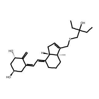 C=C1/C(=C\C=C2/CCC[C@]3(C)C(CSCC(O)(CC)CC)=CC[C@@H]23)C[C@@H](O)C[C@@H]1O